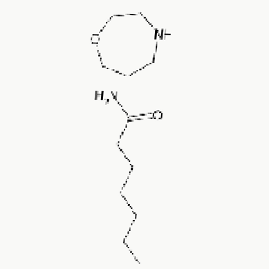 C1CNCCOC1.CCCCCCC(N)=O